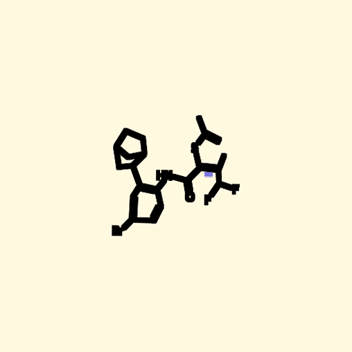 C=C(C)S/C(C(=O)Nc1ccc(Br)cc1C1CC2CCC1C2)=C(\C)C(F)F